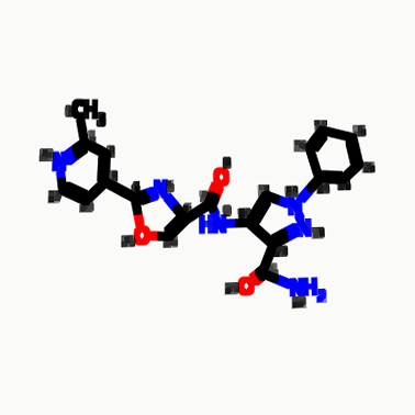 Cc1cc(-c2nc(C(=O)Nc3cn(-c4ccccc4)nc3C(N)=O)co2)ccn1